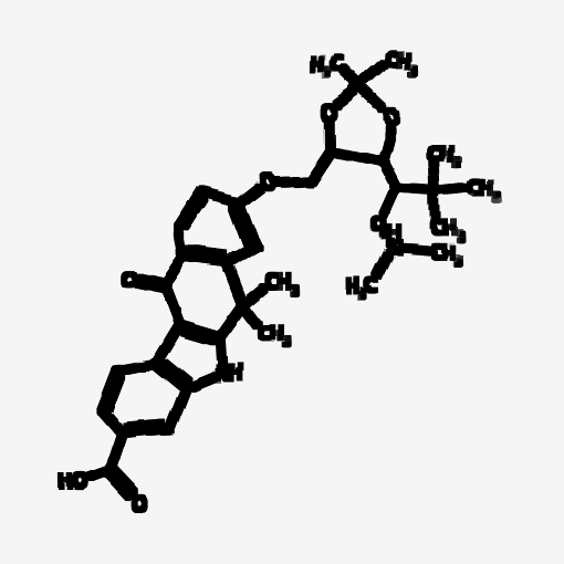 C[SiH](C)OC(C1OC(C)(C)OC1COc1ccc2c(c1)C(C)(C)c1[nH]c3cc(C(=O)O)ccc3c1C2=O)C(C)(C)C